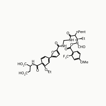 CCCCCC(C(=O)NCNC(=O)c1ccc(-c2ccc(C(=O)NC(CC(=O)O)C(=O)O)c(OCC)c2)o1)[C@@H](CC)N(C=O)OC(=O)c1ccc(OC)cc1C(F)(F)F